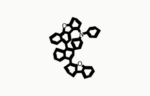 c1ccc(N(c2ccccc2)c2cccc3oc4c5ccccc5c(-c5ccc(-c6cccc7c6oc6ccccc67)c6ccccc56)cc4c23)cc1